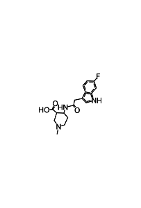 CN1CCC(NC(=O)Cc2c[nH]c3cc(F)ccc23)C(C(=O)O)C1